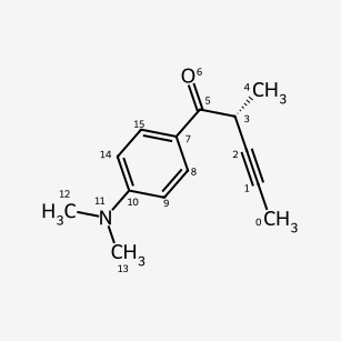 CC#C[C@@H](C)C(=O)c1ccc(N(C)C)cc1